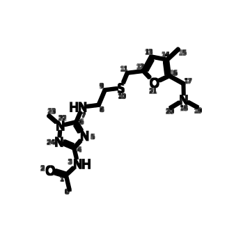 CC(=O)Nc1nc(NCCSCc2cc(C)c(CN(C)C)o2)n(C)n1